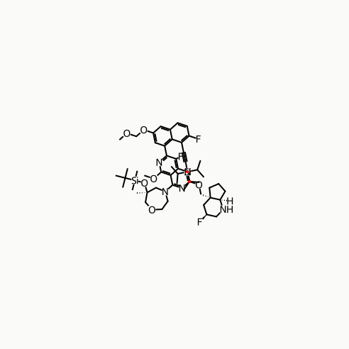 COCOc1cc(-c2nc(OC)c3c(N4CCOC[C@@](C)(O[Si](C)(C)C(C)(C)C)C4)nc(OC[C@]45CCC[C@H]4NC[C@@H](F)C5)nc3c2F)c2c(C#C[Si](C(C)C)(C(C)C)C(C)C)c(F)ccc2c1